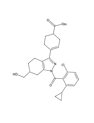 O=C(O)C1CC=C(c2nn(C(=O)c3c(Cl)cccc3C3CC3)c3c2CCC(CO)C3)CC1